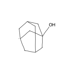 OC12C[C]3CC(CC(C3)C1)C2